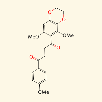 COc1ccc(C(=O)CCC(=O)c2c(OC)cc3c(c2OC)OCCO3)cc1